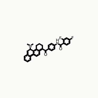 CN(C)C1C=c2ccccc2=c2ccc3c(c21)CCCC=3C(=O)c1ccc(NC(=O)c2ccc(F)cc2F)cc1